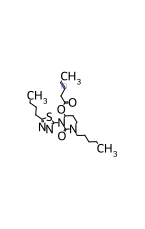 C/C=C/CC(=O)OC1CCN(CCCCC)C(=O)N1c1nnc(CCCC)s1